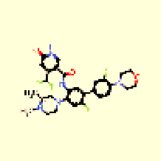 C[C@H]1CN(c2cc(F)c(-c3ccc(N4CCOCC4)c(F)c3)cc2NC(=O)c2c[nH]c(=O)cc2C(F)F)CCN1C